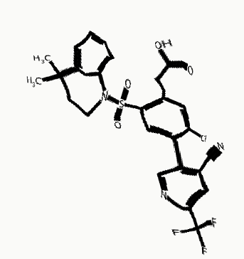 CC1(C)CCN(S(=O)(=O)c2cc(-c3cnc(C(F)(F)F)cc3C#N)c(Cl)cc2CC(=O)O)c2ccccc21